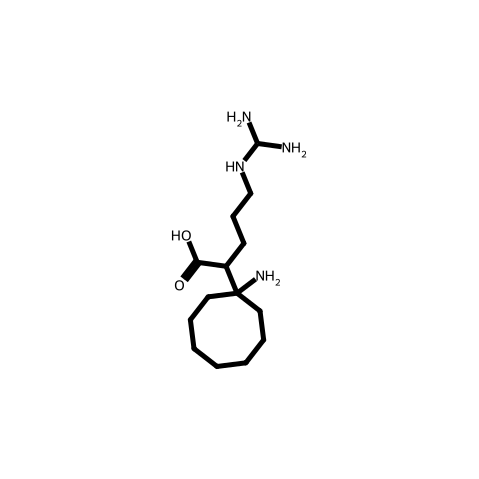 NC(N)NCCCC(C(=O)O)C1(N)CCCCCCC1